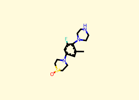 Cc1cc(N2CC[S+]([O-])CC2)cc(F)c1N1CCNCC1